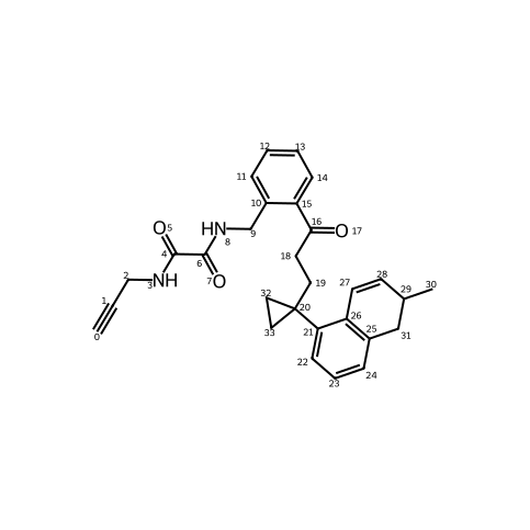 C#CCNC(=O)C(=O)NCc1ccccc1C(=O)CCC1(c2cccc3c2C=CC(C)C3)CC1